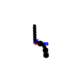 CCCCCCCCCCCc1noc(-c2ccc(C([NH])CCc3ccc(-c4ccccc4)cc3)cc2)n1